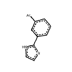 CC(=O)c1cccc(-c2ncc[nH]2)c1